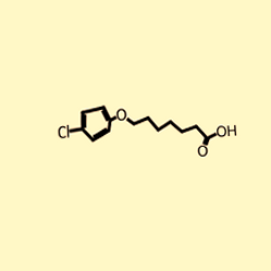 O=C(O)CCCCCCOc1ccc(Cl)cc1